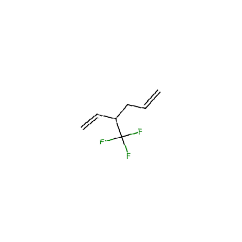 C=CCC(C=C)C(F)(F)F